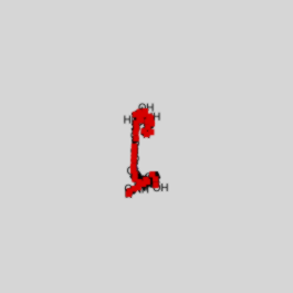 Cc1ncsc1-c1ccc([C@H](C)NC(=O)[C@@H]2C[C@@H](O)CN2C(=O)[C@@H](NC(=O)COCCOCCOCCOCCOCC/C=C/C(=O)N2CCN(c3nc(NCCC(=O)N(C)C)nc4c(F)c(-c5cc(O)cc6ccccc56)c(Cl)cc34)CC2)C(C)(C)C)cc1